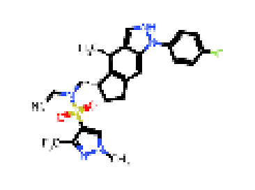 C[C@H]1C2=CNN(c3ccc(F)cc3)C2=CC2=C1[C@@H](CN(CC#N)S(=O)(=O)c1cn(C)nc1C(F)(F)F)CC2